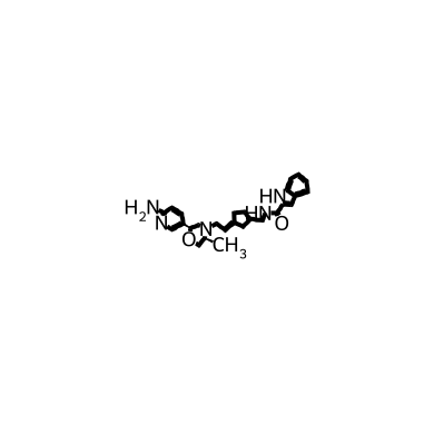 C[C@H]1CO[C@@H](c2ccc(N)nc2)CN1C/C=C1\CCC(CNC(=O)c2cc3ccccc3[nH]2)C1